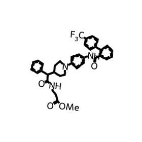 COC(=O)CCNC(=O)C(c1ccccc1)C1CCN(c2ccc(NC(=O)c3ccccc3-c3ccc(C(F)(F)F)cc3)cc2)CC1